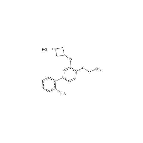 CCOc1ccc(-c2ccccc2C)cc1OC1CNC1.Cl